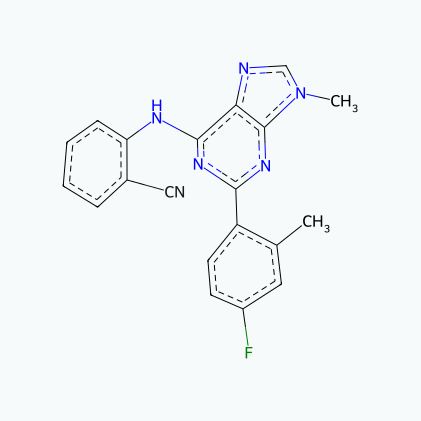 Cc1cc(F)ccc1-c1nc(Nc2ccccc2C#N)c2ncn(C)c2n1